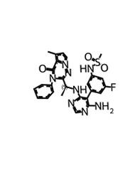 Cc1ccn2nc([C@H](C)Nc3ncnc(N)c3-c3cc(F)cc(NS(C)(=O)=O)c3)n(-c3ccccc3)c(=O)c12